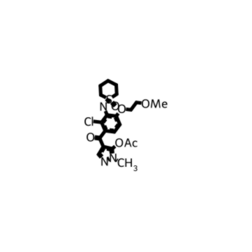 COCCOc1ccc(C(=O)c2cnn(C)c2OC(C)=O)c(Cl)c1N=S1(=O)CCCCC1